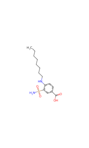 CCCCCCCCNc1ccc(C(=O)O)cc1S(N)(=O)=O